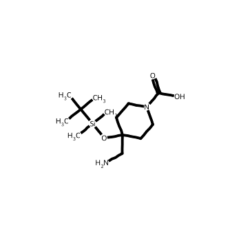 CC(C)(C)[Si](C)(C)OC1(CN)CCN(C(=O)O)CC1